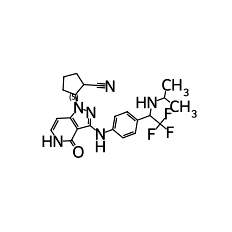 CC(C)NC(c1ccc(Nc2nn([C@H]3CCCC3C#N)c3cc[nH]c(=O)c23)cc1)C(F)(F)F